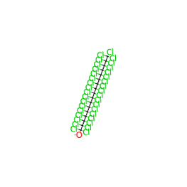 [O]C(Cl)(Cl)C(Cl)(Cl)C(Cl)(Cl)C(Cl)(Cl)C(Cl)(Cl)C(Cl)(Cl)C(Cl)(Cl)C(Cl)(Cl)C(Cl)(Cl)C(Cl)(Cl)C(Cl)(Cl)C(Cl)(Cl)C(Cl)(Cl)C(Cl)(Cl)C(Cl)(Cl)C(Cl)(Cl)C(Cl)(Cl)Cl